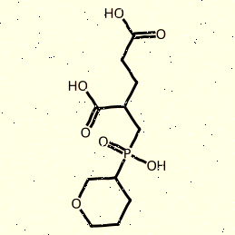 O=C(O)CCC(CP(=O)(O)C1CCCOC1)C(=O)O